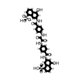 O=C(Nc1ccc(C(=O)Nc2cc(O)c3cccc(S(=O)(=O)O)c3c2)cc1)C(=O)Nc1ccc(C(=O)Nc2cc(O)c3cccc(S(=O)(=O)O)c3c2)cc1